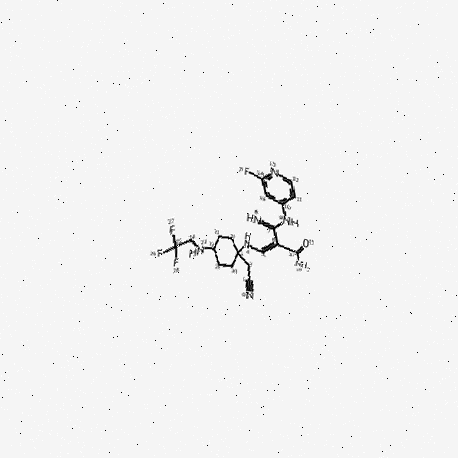 N#CCC1(N/C=C(\C(=N)Nc2ccnc(F)c2)C(N)=O)CCC(NCC(F)(F)F)CC1